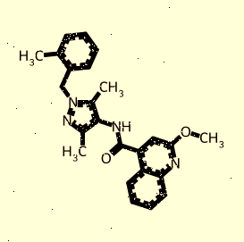 COc1cc(C(=O)Nc2c(C)nn(Cc3ccccc3C)c2C)c2ccccc2n1